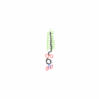 O=C(CCC(F)(F)C(F)(F)C(F)(F)C(F)(F)C(F)(F)C(F)(F)C(F)(F)C(F)(F)F)Oc1ccc([N+](=O)[O-])cc1